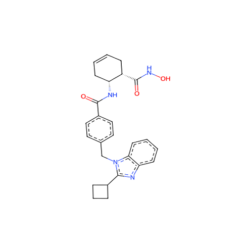 O=C(N[C@@H]1CC=CC[C@@H]1C(=O)NO)c1ccc(Cn2c(C3CCC3)nc3ccccc32)cc1